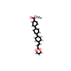 COC(=O)C1CCC(C2CCC(C3CCC(/C=C/C4OCCCO4)CC3)CC2)CC1